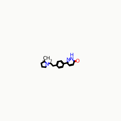 C[C@@H]1CCCN1CCc1ccc(-c2ccc(=O)[nH]n2)cc1